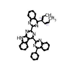 C/C=C\C(=C/C)c1nc(-c2nc(-c3nc(-c4ccccc4)c4ccccc4n3)c3c(n2)[nH]c2ccccc23)nc2ccccc12